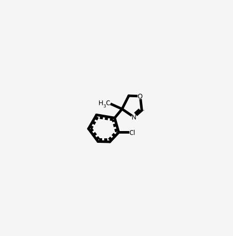 CC1(c2ccccc2Cl)CO[C]=N1